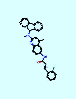 Cc1cc(N(C)C2c3ccccc3-c3ccccc32)nc2ccc(NC(=O)/C=C/c3ccccc3Cl)cc12